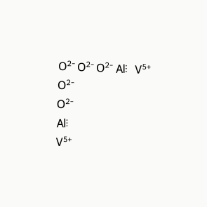 [Al].[Al].[O-2].[O-2].[O-2].[O-2].[O-2].[V+5].[V+5]